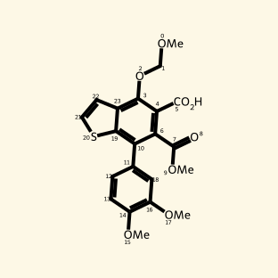 COCOc1c(C(=O)O)c(C(=O)OC)c(-c2ccc(OC)c(OC)c2)c2sccc12